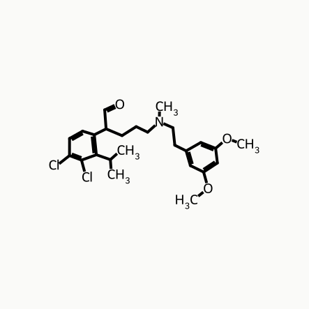 COc1cc(CCN(C)CCCC(C=O)c2ccc(Cl)c(Cl)c2C(C)C)cc(OC)c1